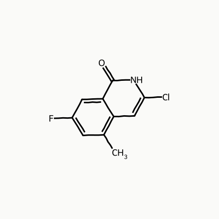 Cc1cc(F)cc2c(=O)[nH]c(Cl)cc12